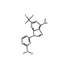 CNc1nc(C(F)(F)F)nc2c1ncn2-c1ccnc([S+](C)[O-])n1